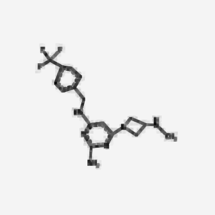 CNC1CN(c2cc(NCc3ccc(C(F)(F)F)cc3)nc(N)n2)C1